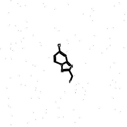 FCc1nc2cc(Cl)ccn2n1